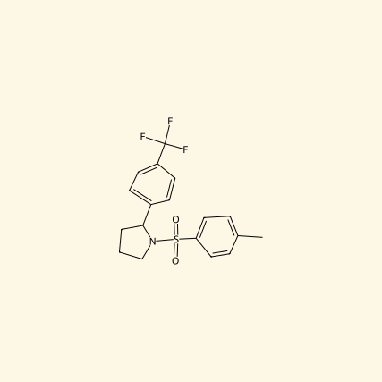 Cc1ccc(S(=O)(=O)N2CCCC2c2ccc(C(F)(F)F)cc2)cc1